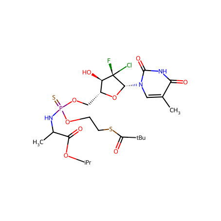 Cc1cn([C@@H]2O[C@H](COP(=S)(NC(C)C(=O)OC(C)C)OCCSC(=O)C(C)(C)C)[C@@H](O)[C@]2(F)Cl)c(=O)[nH]c1=O